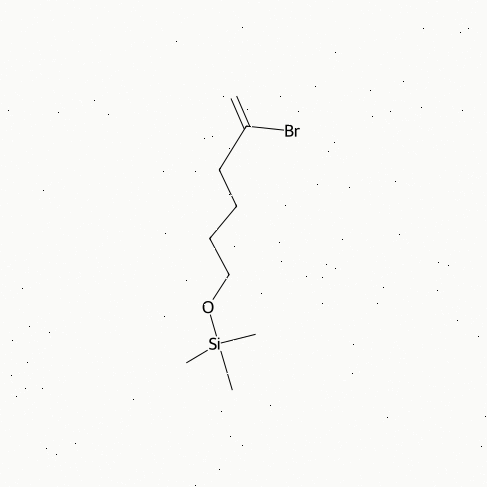 C=C(Br)CCCCO[Si](C)(C)C